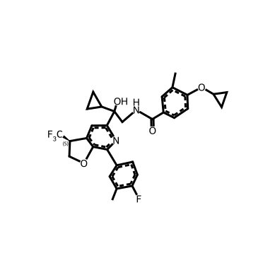 Cc1cc(-c2nc(C(O)(CNC(=O)c3ccc(OC4CC4)c(C)c3)C3CC3)cc3c2OC[C@H]3C(F)(F)F)ccc1F